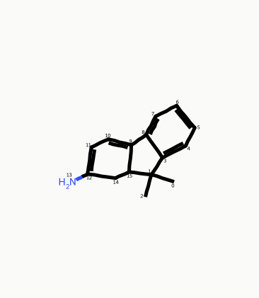 CC1(C)c2ccccc2C2=CC=C(N)CC21